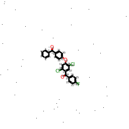 O=C(c1ccccc1)c1ccc(Oc2cc(Cl)c(C(=O)c3ccc(F)cc3)cc2Cl)cc1